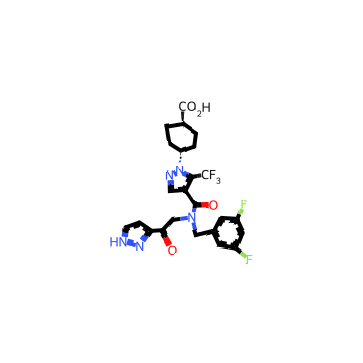 O=C(CN(Cc1cc(F)cc(F)c1)C(=O)c1cnn([C@H]2CC[C@H](C(=O)O)CC2)c1C(F)(F)F)c1cc[nH]n1